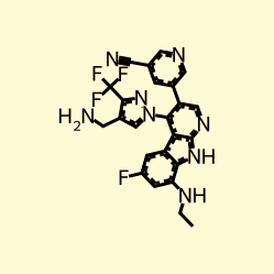 CCNc1cc(F)cc2c1[nH]c1ncc(-c3cncc(C#N)c3)c(-n3cc(CN)c(C(F)(F)F)n3)c12